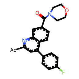 CC(=O)c1cc(-c2ccc(F)cc2)c2ccc(C(=O)N3CCOCC3)cc2n1